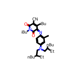 CCCCC(CC)CN(CC(CC)CCCC)c1ccc(N=C2C(=O)N(C(C)CC)C(=O)C(C#N)=C2C(C)CC)c(C)c1